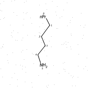 CCCCC[CH]CN